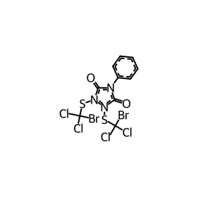 O=c1n(-c2ccccc2)c(=O)n(SC(Cl)(Cl)Br)n1SC(Cl)(Cl)Br